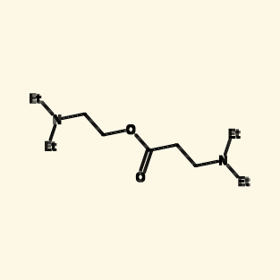 CCN(CC)CCOC(=O)CCN(CC)CC